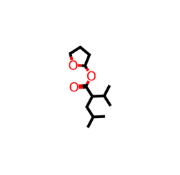 CC(C)CC(C(=O)OC1CCCO1)C(C)C